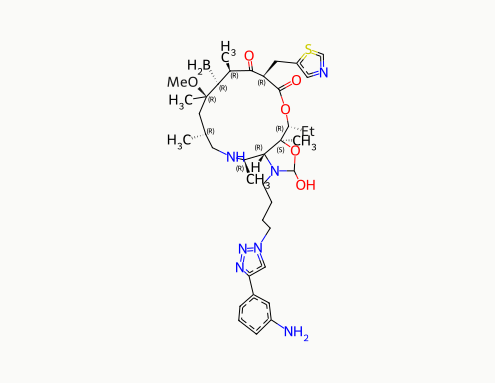 B[C@@H]1[C@@H](C)C(=O)[C@@H](Cc2cncs2)C(=O)O[C@H](CC)[C@@]2(C)OC(O)N(CCCCn3cc(-c4cccc(N)c4)nn3)[C@@H]2[C@@H](C)NC[C@H](C)C[C@@]1(C)OC